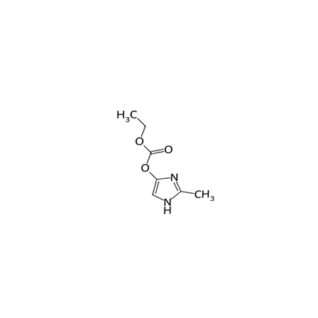 CCOC(=O)Oc1c[nH]c(C)n1